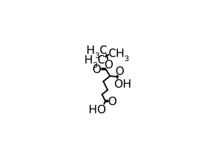 CC(C)(C)OC(=O)C(CCCC(=O)O)C(=O)O